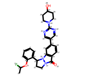 CC(F)Oc1ccccc1C1CCn2c(=O)c3ccc(-c4cnc(N5CCC(O)CC5)nc4)cc3n21